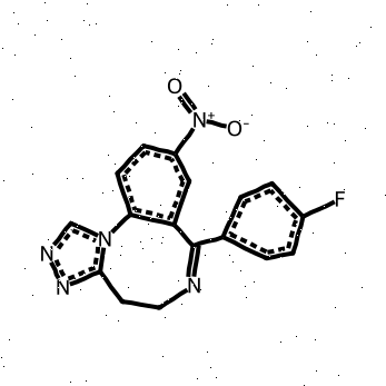 O=[N+]([O-])c1ccc2c(c1)/C(c1ccc(F)cc1)=N\CCc1nncn1-2